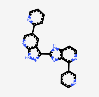 c1ccc(-c2cnc3[nH]nc(-c4nc5c(-c6cccnc6)nccc5[nH]4)c3c2)nc1